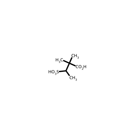 CC(C(C)(C)C(=O)O)S(=O)(=O)O